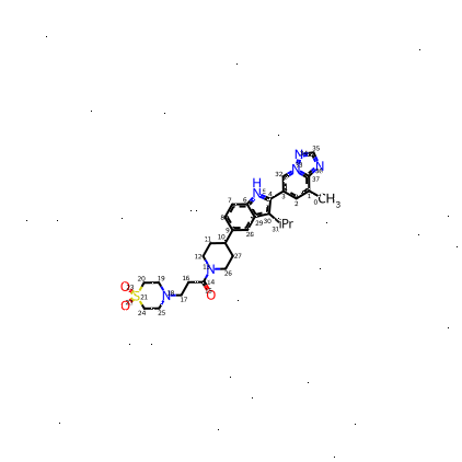 Cc1cc(-c2[nH]c3ccc(C4CCN(C(=O)CCN5CCS(=O)(=O)CC5)CC4)cc3c2C(C)C)cn2ncnc12